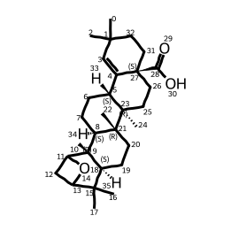 CC1(C)C=C2[C@H]3CC[C@@H]4[C@@]5(C)C6CC(O6)C(C)(C)[C@@H]5CC[C@@]4(C)[C@]3(C)CC[C@@]2(C(=O)O)CC1